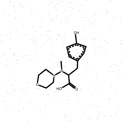 CN(C(Cc1ccc(O)cc1)C(=O)O)N1CCOCC1